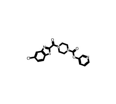 O=C(Oc1cccnc1)N1CCN(C(=O)c2nc3cc(Cl)ccc3s2)CC1